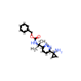 CC(C)(NC(=O)OCc1ccccc1)c1ccc(C2(N)CC2)nn1